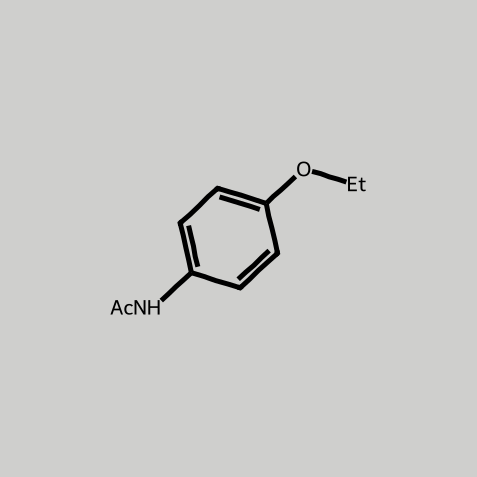 [CH2]COc1ccc(NC(C)=O)cc1